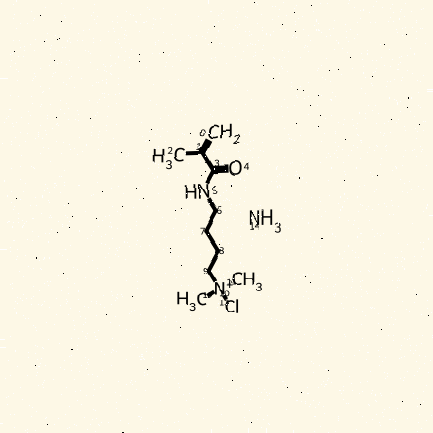 C=C(C)C(=O)NCCCC[N+](C)(C)Cl.N